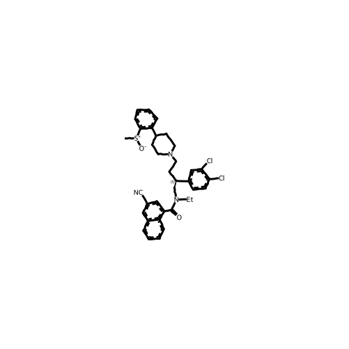 CCN(C[C@@H](CCN1CCC(c2ccccc2[S+](C)[O-])CC1)c1ccc(Cl)c(Cl)c1)C(=O)c1cc(C#N)cc2ccccc12